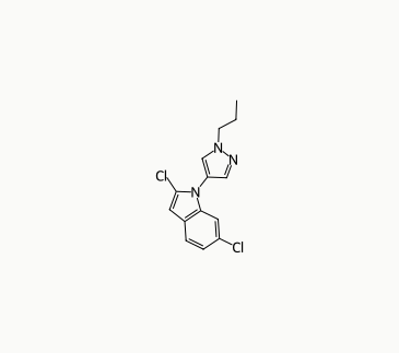 CCCn1cc(-n2c(Cl)cc3ccc(Cl)cc32)cn1